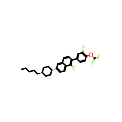 CCCCC[C@H]1CC[C@H](c2ccc3c(F)c(-c4ccc(OC(F)F)c(F)c4)ccc3c2)CC1